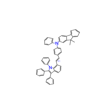 CC1(C)c2ccccc2-c2ccc(N(c3ccccc3)c3ccc(/C=C/c4cccc5c(-c6ccccc6)c(-c6ccccc6)n(-c6ccccc6)c45)cc3)cc21